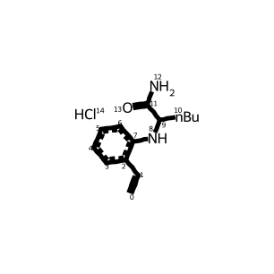 C=Cc1ccccc1NC(CCCC)C(N)=O.Cl